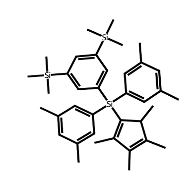 CC1=C(C)C(C)C([Si](c2cc(C)cc(C)c2)(c2cc(C)cc(C)c2)c2cc([Si](C)(C)C)cc([Si](C)(C)C)c2)=C1C